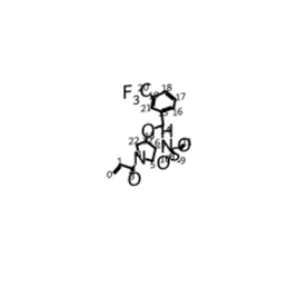 C=CC(=O)N1C[C@@H](NS(C)(=O)=O)[C@H](OCc2cccc(C(F)(F)F)c2)C1